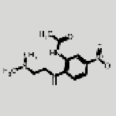 CC(=O)Nc1cc([N+](=O)[O-])ccc1NCCN(C)C